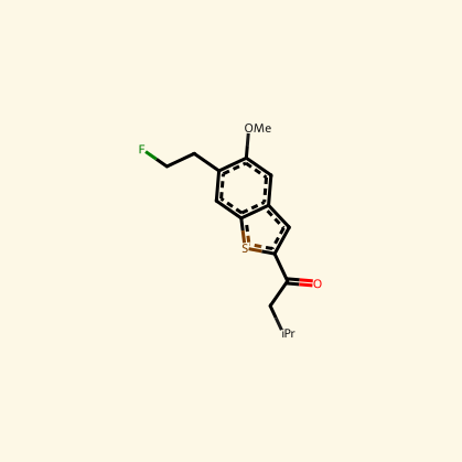 COc1cc2cc(C(=O)CC(C)C)sc2cc1CCF